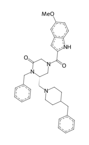 COc1ccc2[nH]c(C(=O)N3CC(=O)N(Cc4ccccc4)[C@@H](CN4CCC(Cc5ccccc5)CC4)C3)cc2c1